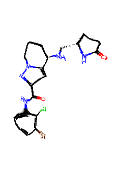 O=C1CC[C@@H](CN[C@@H]2CCCn3nc(C(=O)Nc4cccc(Br)c4Cl)cc32)N1